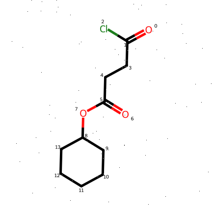 O=C(Cl)CCC(=O)OC1CCCCC1